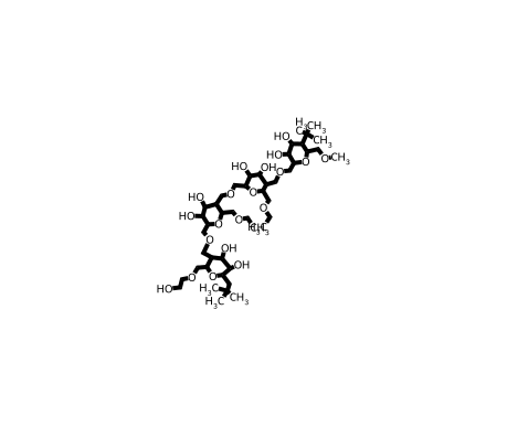 CCOCC1OC(COCC2C(COCCO)OC(CC(C)(C)C)C(O)C2O)C(O)C(O)C1COCC1OC(COCC)C(COCC2OC(COC)C(C(C)(C)C)C(O)C2O)C(O)C1O